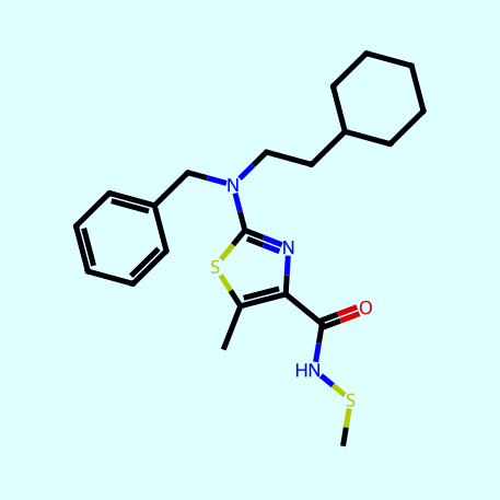 CSNC(=O)c1nc(N(CCC2CCCCC2)Cc2ccccc2)sc1C